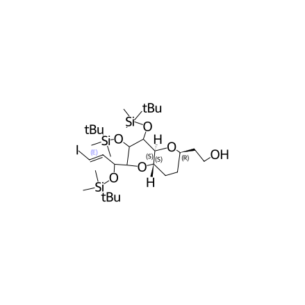 CC(C)(C)[Si](C)(C)OC(/C=C/I)C1O[C@H]2CC[C@H](CCO)O[C@@H]2C(O[Si](C)(C)C(C)(C)C)C1O[Si](C)(C)C(C)(C)C